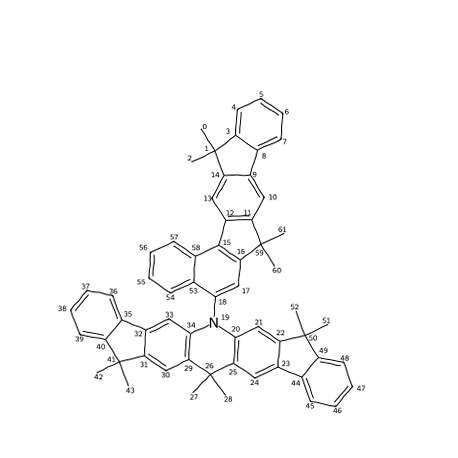 CC1(C)c2ccccc2-c2cc3c(cc21)-c1c(cc(N2c4cc5c(cc4C(C)(C)c4cc6c(cc42)-c2ccccc2C6(C)C)-c2ccccc2C5(C)C)c2ccccc12)C3(C)C